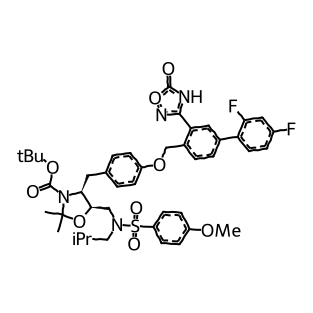 COc1ccc(S(=O)(=O)N(CC(C)C)C[C@H]2OC(C)(C)N(C(=O)OC(C)(C)C)[C@H]2Cc2ccc(OCc3ccc(-c4ccc(F)cc4F)cc3-c3noc(=O)[nH]3)cc2)cc1